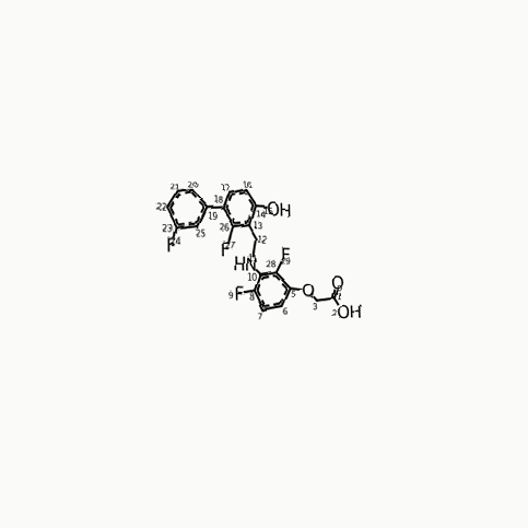 O=C(O)COc1ccc(F)c(NCc2c(O)ccc(-c3cccc(F)c3)c2F)c1F